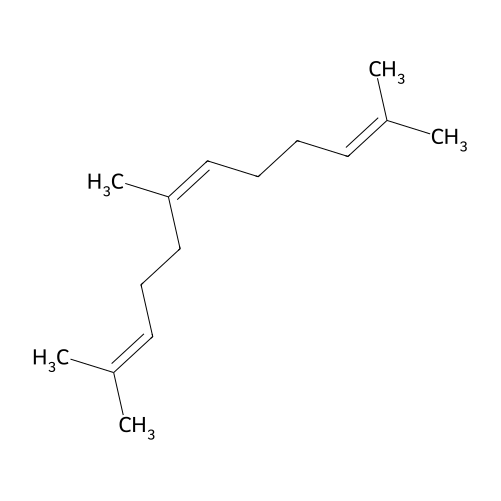 CC(C)=CCCC=C(C)CCC=C(C)C